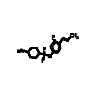 C/C=C/c1ccc(OC(F)(F)C2CCC(CCC)CC2)cc1F